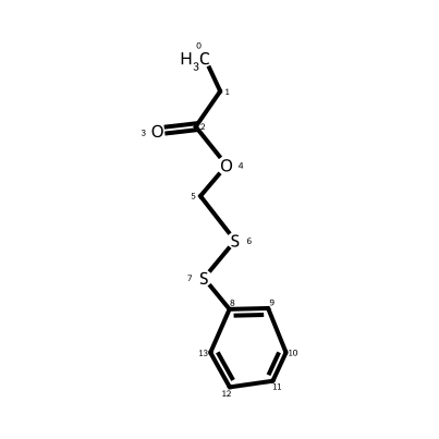 CCC(=O)OCSSc1ccccc1